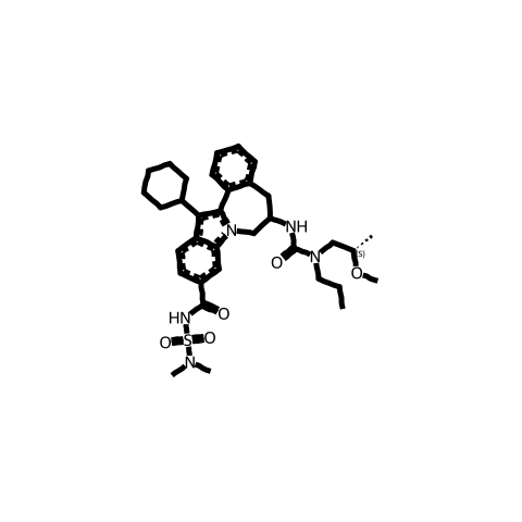 CCCN(C[C@H](C)OC)C(=O)NC1Cc2ccccc2-c2c(C3CCCCC3)c3ccc(C(=O)NS(=O)(=O)N(C)C)cc3n2C1